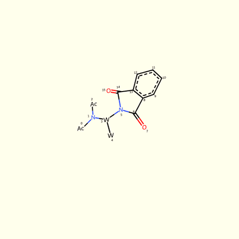 CC(=O)[N](C(C)=O)[W]([W])[N]1C(=O)c2ccccc2C1=O